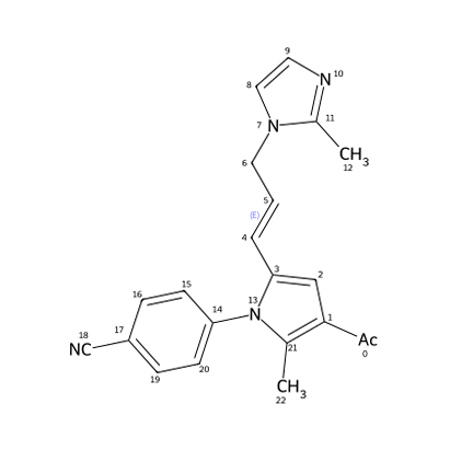 CC(=O)c1cc(/C=C/Cn2ccnc2C)n(-c2ccc(C#N)cc2)c1C